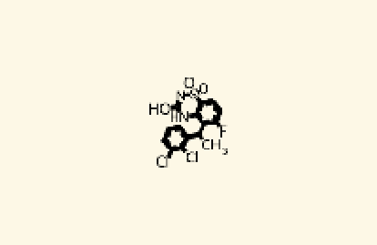 CC(c1cccc(Cl)c1Cl)c1c(F)ccc2c1NC(O)=NS2(=O)=O